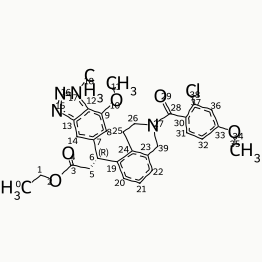 CCOC(=O)C[C@H](c1cc(OC)c2c(c1)nnn2C)c1cccc2c1CCN(C(=O)c1ccc(OC)cc1Cl)C2